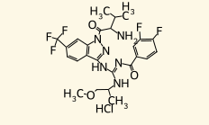 COCC(C)NC(=NC(=O)c1ccc(F)c(F)c1)Nc1nn(C(=O)C(N)C(C)C)c2cc(C(F)(F)F)ccc12.Cl